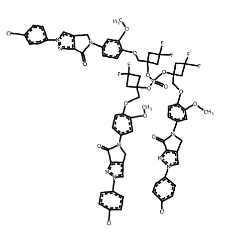 COc1cc(N2Cc3cn(-c4ccc(Cl)cc4)nc3C2=O)ccc1OCC1(OP(=O)(OC2(COc3ccc(N4Cc5cn(-c6ccc(Cl)cc6)nc5C4=O)cc3OC)CC(F)(F)C2)OC2(COc3ccc(N4Cc5cn(-c6ccc(Cl)cc6)nc5C4=O)cc3OC)CC(F)(F)C2)CC(F)(F)C1